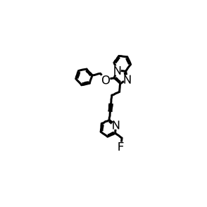 FCc1cccc(C#CCCc2nc3ccccn3c2OCc2ccccc2)n1